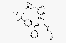 CN(CCN(C)CC(=O)NCCOCCC#N)CCN(C)C(=O)c1ccc(C(=O)c2ccccc2)cc1